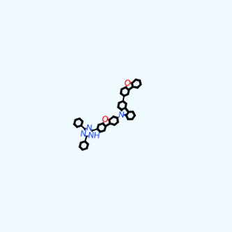 c1ccc(C2=NC(c3ccccc3)NC(c3ccc4c(c3)oc3cc(-n5c6ccccc6c6cc(-c7ccc8oc9ccccc9c8c7)ccc65)ccc34)=N2)cc1